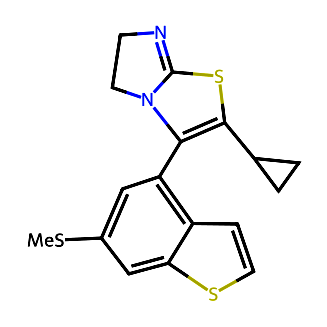 CSc1cc(C2=C(C3CC3)SC3=NCCN32)c2ccsc2c1